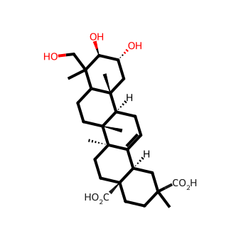 CC1(C(=O)O)CC[C@]2(C(=O)O)CC[C@]3(C)C(=CC[C@@H]4[C@@]5(C)C[C@@H](O)[C@H](O)C(C)(CO)C5CC[C@]43C)[C@H]2C1